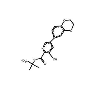 CC(C)(NC(=O)c1ncc(-c2ccc3c(c2)OCCO3)cc1O)C(=O)O